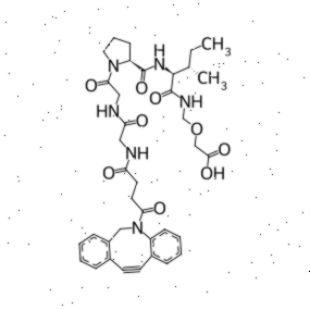 CC[C@H](C)[C@H](NC(=O)[C@@H]1CCCN1C(=O)CNC(=O)CNC(=O)CCC(=O)N1Cc2ccccc2C#Cc2ccccc21)C(=O)NCOCC(=O)O